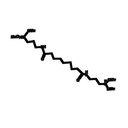 CO[SiH](CCCNC(=O)CCCCCCCC(=O)NCCC[SiH](OC)OC)OC